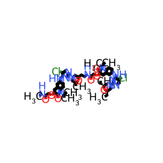 CC[C@@H]1CN(c2ncc(Cl)c(Nc3ccc4c(c3)cc(OCC(=O)NCCC3CN(c5ncc(Cl)c(Nc6ccc7c(c6)cc(OCC(=O)NC)c(=O)n7C(C)C)n5)CC(C)O3)c(=O)n4C(C)C)n2)C[C@@H](CC)O1